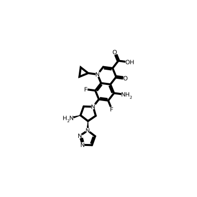 Nc1c(F)c(N2C[C@@H](n3ccnn3)[C@@H](N)C2)c(F)c2c1c(=O)c(C(=O)O)cn2C1CC1